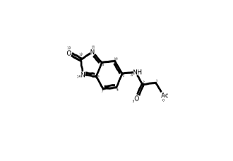 CC(=O)CC(=O)Nc1ccc2c(c1)=NC(=O)N=2